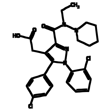 CCN(C(=O)c1nn(-c2ccccc2Cl)c(-c2ccc(Cl)cc2)c1CC(=O)O)N1CCCCC1